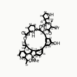 CCn1c(-c2cccnc2[C@H](C)OC)c2c3cc(ccc31)-c1cc(O)cc(c1)C[C@H](NC(=O)C(C(C)C)N(C)C(=O)[C@@]1(C)CCNC1)C(=O)N1CCC[C@H](N1)C(=O)OCC(C)(C)C2